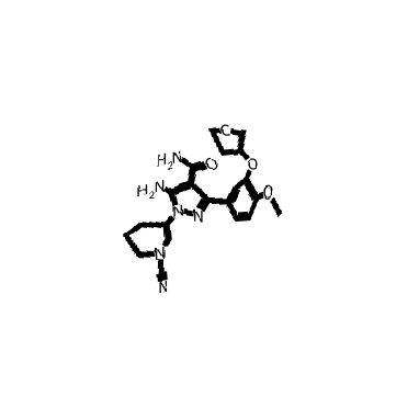 COc1ccc(-c2nn(C3CCCN(C#N)C3)c(N)c2C(N)=O)cc1OC1CCCC1